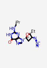 CC[C@H]1O[C@@H](n2cnc3c(=O)[nH]c(NCC(C)C)nc32)CC1N=[N+]=[N-]